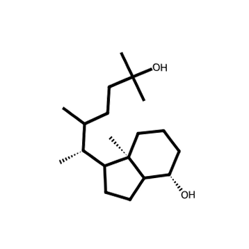 CC(CCC(C)(C)O)[C@@H](C)C1CCC2[C@@H](O)CCC[C@]12C